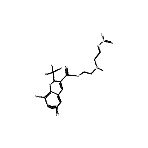 CN(CCOC(=O)C1=Cc2cc(Cl)cc(Cl)c2OC1C(F)(F)F)CCO[N+](=O)[O-]